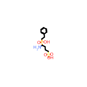 NC(CCCS(=O)(=O)O)P(=O)(O)CCc1ccccc1